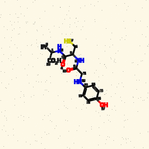 CC(C)C(NC(=O)C(CS)NC(=O)CNc1ccc(O)cc1)C(=O)O